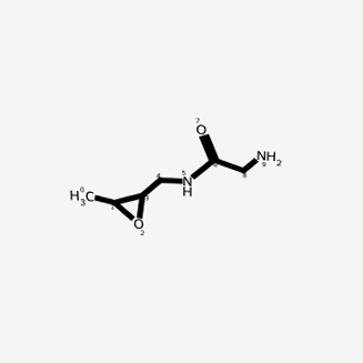 CC1OC1CNC(=O)CN